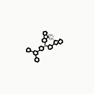 CC1(C)c2ccccc2-c2ccc(N(c3ccc(-c4cc(-c5ccccc5)cc(-c5ccccc5)c4)cc3)c3cccc(-c4ccc5ccccc5c4)c3)cc21